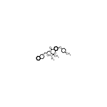 CN1CCC(Oc2ccc3c(c2)OC(C)(C)CN(C[C@H](O)CN2CCc4ccccc4C2)C3=O)CC1